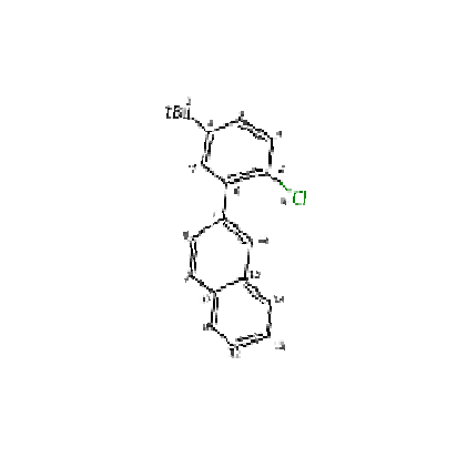 CC(C)(C)c1ccc(Cl)c(-c2ccc3ccccc3c2)c1